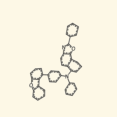 c1ccc(-c2nc3ccc4c(N(c5ccccc5)c5ccc(-c6cccc7oc8ccccc8c67)cc5)cccc4c3o2)cc1